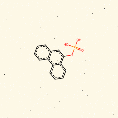 O=P(O)(O)Oc1cc2ccccc2c2ccccc12